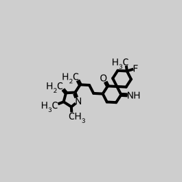 C=C(CCC1CCC(=N)C2(CCC(C)(F)CC2)C1=O)C1=NC(C)C(C)C1=C